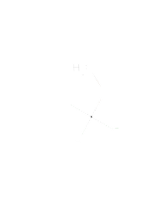 [CH2]SC(F)(F)F